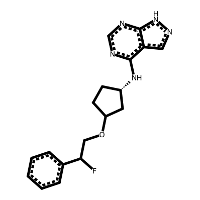 FC(COC1CC[C@H](Nc2ncnc3[nH]ncc23)C1)c1ccccc1